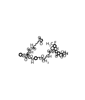 Cc1c(F)cc2nc3c(c4c2c1CC[C@@H]4NC(=O)CCNCCN(C)C(=O)OCc1ccc(NC(=O)CNC(=O)[C@H](Cc2ccccc2)NC(=O)CNC(=O)CNC(=O)CCCCCN2C(=O)C=CC2=O)cc1)Cn1c-3cc2c(c1=O)COC(=O)[C@@]2(C)O